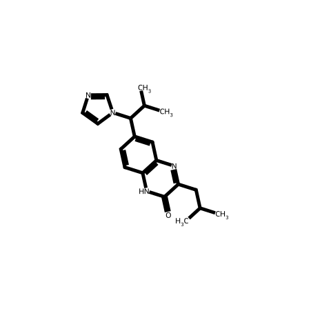 CC(C)Cc1nc2cc(C(C(C)C)n3ccnc3)ccc2[nH]c1=O